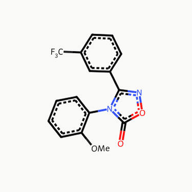 COc1ccccc1-n1c(-c2cccc(C(F)(F)F)c2)noc1=O